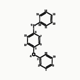 c1ccc(Oc2ccc([I+]c3ccccc3)cc2)cc1